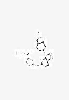 Cn1cc2ccc(-n3nnc4cnc(N[C@@H]5CC[C@@H](C(N)=O)C5)nc43)cc2n1